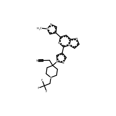 Cn1cc(-c2cc3nccn3c(-c3cnn(C4(CC#N)CCN(CC(F)(F)F)CC4)c3)n2)cn1